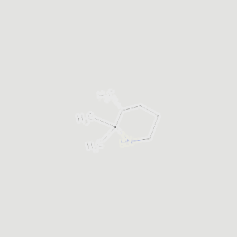 C[C@@H]1CCCNC1(C)C